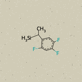 CC([SiH3])c1cc(F)c(F)cc1F